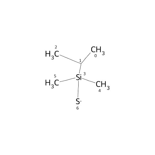 CC(C)[Si](C)(C)[S]